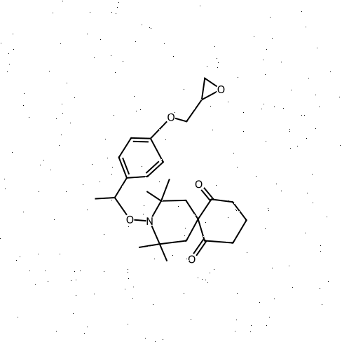 CC(ON1C(C)(C)CC2(CC1(C)C)C(=O)CCCC2=O)c1ccc(OCC2CO2)cc1